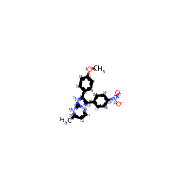 COc1ccc(-c2nc3nc(C)ccn3c2-c2ccc([N+](=O)[O-])cc2)cc1